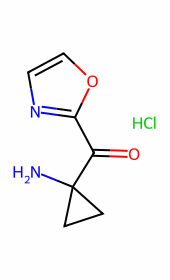 Cl.NC1(C(=O)c2ncco2)CC1